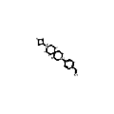 O=Cc1ccc(N2CCC3(CC2)CCN(C2CCC2)CC3)cc1